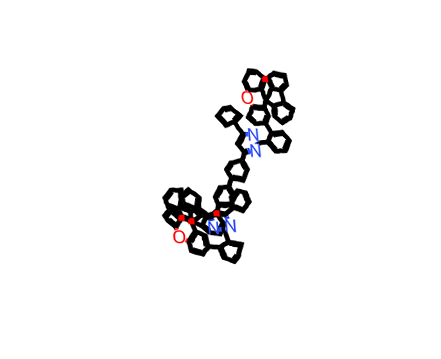 c1ccc(-c2cc(-c3ccc(-c4ccc(-c5cccc6c5-c5ccccc5C65c6ccccc6Oc6ccc(-c7ccccc7-c7nc(-c8ccccc8)cc(-c8ccc9ccccc9c8)n7)cc65)cc4)cc3)nc(-c3ccccc3-c3ccc4c(c3)C3(c5ccccc5O4)c4ccccc4-c4ccccc43)n2)cc1